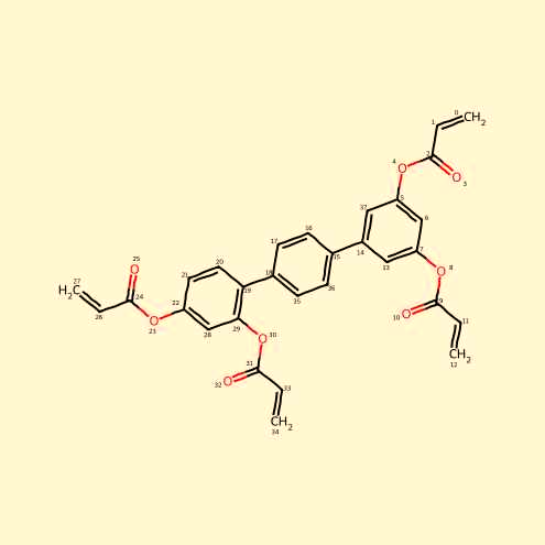 C=CC(=O)Oc1cc(OC(=O)C=C)cc(-c2ccc(-c3ccc(OC(=O)C=C)cc3OC(=O)C=C)cc2)c1